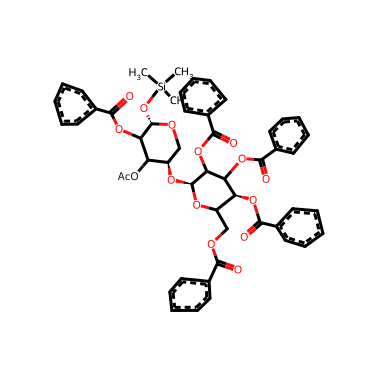 CC(=O)OC1C(OC(=O)c2ccccc2)[C@H](O[Si](C)(C)C)OC[C@H]1O[C@@H]1OC(COC(=O)c2ccccc2)[C@H](OC(=O)c2ccccc2)C(OC(=O)c2ccccc2)C1OC(=O)c1ccccc1